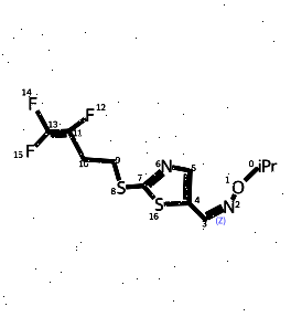 CC(C)O/N=C\c1cnc(SCCC(F)=C(F)F)s1